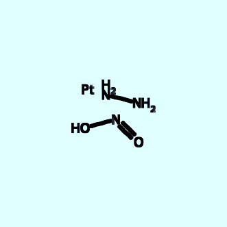 NN.O=NO.[Pt]